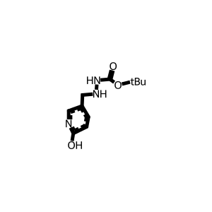 CC(C)(C)OC(=O)NNCc1ccc(O)nc1